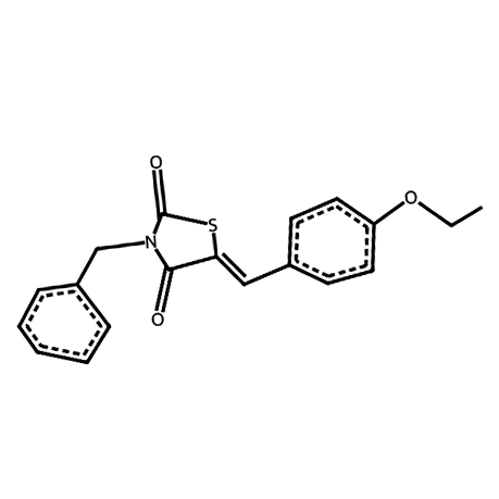 CCOc1ccc(/C=C2\SC(=O)N(Cc3ccccc3)C2=O)cc1